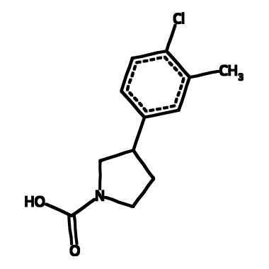 Cc1cc(C2CCN(C(=O)O)C2)ccc1Cl